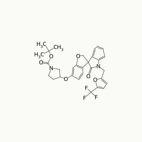 CC(C)(C)OC(=O)N1CCC(Oc2ccc3c(c2)OCC32C(=O)N(Cc3ccc(C(F)(F)F)o3)c3ccccc32)C1